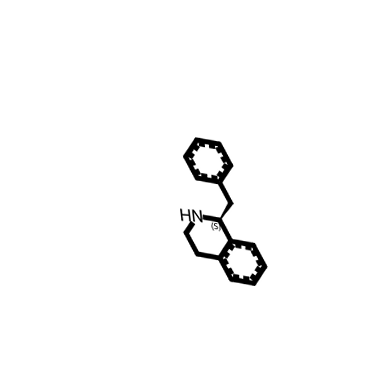 c1ccc(C[C@@H]2NCCc3ccccc32)cc1